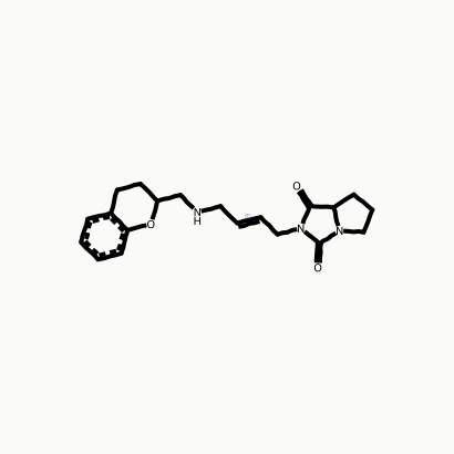 O=C1C2CCCN2C(=O)N1C/C=C/CNCC1CCc2ccccc2O1